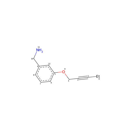 CCC#CCOc1cccc(CN)c1